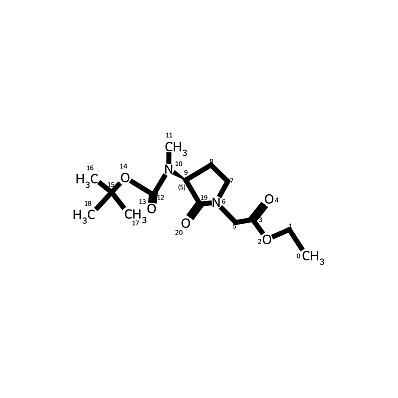 CCOC(=O)CN1CC[C@H](N(C)C(=O)OC(C)(C)C)C1=O